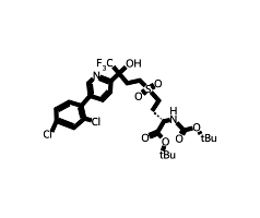 CC(C)(C)OC(=O)N[C@@H](CCS(=O)(=O)CCC(O)(c1ccc(-c2ccc(Cl)cc2Cl)cn1)C(F)(F)F)C(=O)OC(C)(C)C